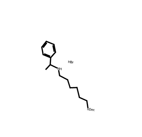 Br.CCCCCCCCCCCCCCCCNC(C)c1ccccc1